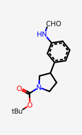 CC(C)(C)OC(=O)N1CCC(c2cccc(NC=O)c2)C1